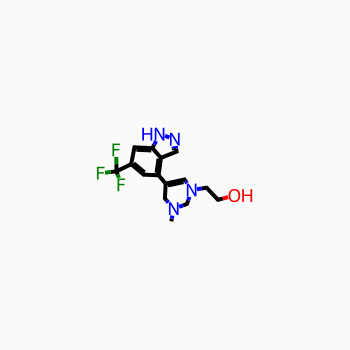 CN1CC(c2cc(C(F)(F)F)cc3[nH]ncc23)=CN(CCO)C1